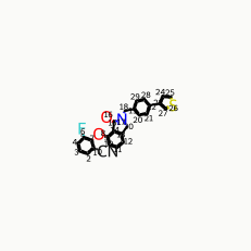 N#Cc1cccc(F)c1Oc1cccc2c1C(=O)N(Cc1ccc(-c3ccsc3)cc1)C2